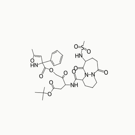 CC1=CC(C(=O)OCC(=O)C(CC(=O)OC(C)(C)C)NC(=O)C2CCCN3C(=O)CCC(NS(C)(=O)=O)C(=O)N23)(c2ccccc2)NO1